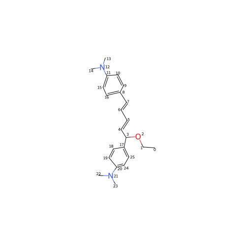 CCOC(C=CC=Cc1ccc(N(C)C)cc1)c1ccc(N(C)C)cc1